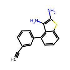 C#Cc1cccc(-c2cccc3sc(N)c(N)c23)c1